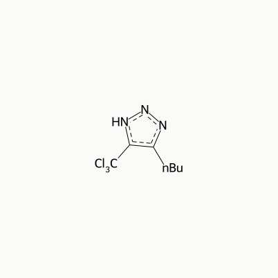 CCCCc1nn[nH]c1C(Cl)(Cl)Cl